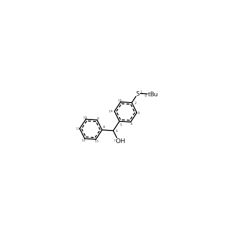 CC(C)(C)Sc1ccc(C(O)c2ccccc2)cc1